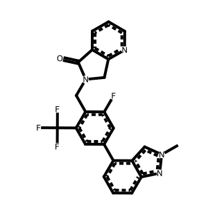 Cn1cc2c(-c3cc(F)c(CN4Cc5ncccc5C4=O)c(C(F)(F)F)c3)cccc2n1